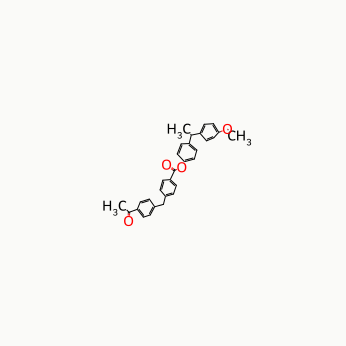 COc1ccc(C(C)c2ccc(OC(=O)c3ccc(Cc4ccc(C(C)=O)cc4)cc3)cc2)cc1